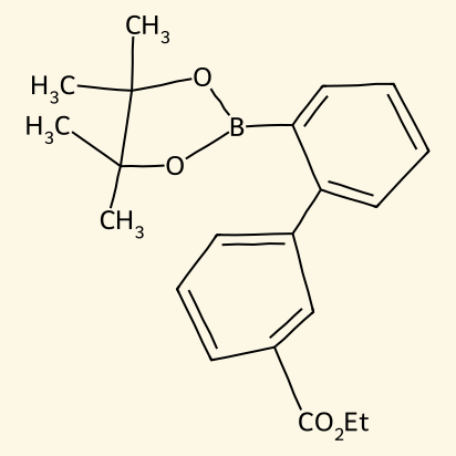 CCOC(=O)c1cccc(-c2ccccc2B2OC(C)(C)C(C)(C)O2)c1